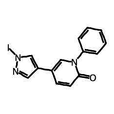 O=c1ccc(-c2cnn(I)c2)cn1-c1ccccc1